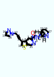 C[C@H]1[C@H](NC(=O)c2cc3c(C#CCn4cccn4)csc3cn2)C2CCN1CC2